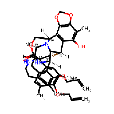 C=CCOc1cc2c(cc1OC)[C@@]1(CS[C@@H]3c4c(O)c(C)c5c(c4[C@H](COC1=O)N1C3[C@@H]3N[C@@H](Cc4cc(C)c(OC)c(OCC=C)c43)[C@@H]1C#N)OCO5)NCC2